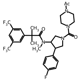 CC(=O)N1CCN(C(=O)N2CC(c3ccc(F)cc3)C(N(C)C(=O)C(C)(C)c3cc(C(F)(F)F)cc(C(F)(F)F)c3)C2)CC1